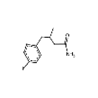 CC(CC(N)=O)Cc1ccc(I)cc1